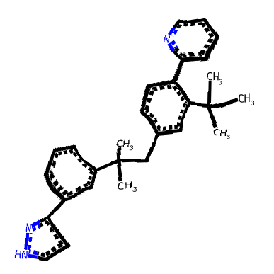 CC(C)(C)c1cc(CC(C)(C)c2cccc(-c3cc[nH]n3)c2)ccc1-c1ccccn1